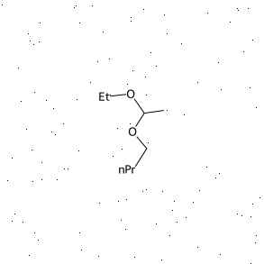 [CH2]COC(C)OCCCC